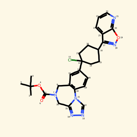 CC(C)(C)OC(=O)N1Cc2cc(C3(Cl)CCC(c4noc5ncccc45)CC3)ccc2-n2cnnc2C1